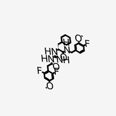 COc1cc(F)c(CC(=O)NC(=N)N[C@H](CC2CCCCC2)C(=O)NCc2ccc(F)c(OC)c2)c(F)c1